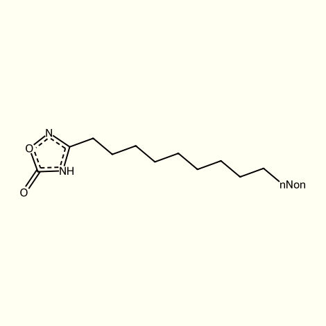 CCCCCCCCCCCCCCCCCCc1noc(=O)[nH]1